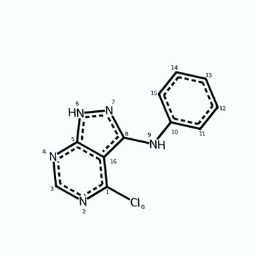 Clc1ncnc2[nH]nc(Nc3ccccc3)c12